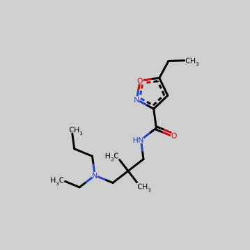 CCCN(CC)CC(C)(C)CNC(=O)c1cc(CC)on1